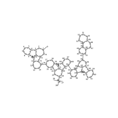 Cc1cc2c3ccccc3n3c4cccc(-c5ccc6c(c5)c5cc([Si](C)(C)C)cc7c8c(-c9cccc%10c9c9cc(-c%11ccc%12c(ccc%13ccccc%13%12)c%11)cc%11c%12ccccc%12n%10c%119)cccc8n6c57)c4c(c1)c23